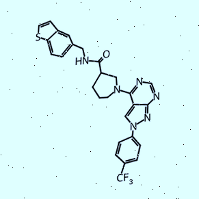 O=C(NCc1ccc2sccc2c1)C1CCCN(c2ncnc3nn(-c4ccc(C(F)(F)F)cc4)cc23)C1